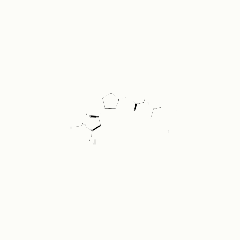 CC(CC(F)(F)F)NC(=O)O[C@@H]1CC[C@H](c2cc(N)n(C(C)(C)C)n2)C1